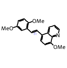 COc1ccc(OC)c(/C=C/c2ccc(OC)c3ncccc23)c1